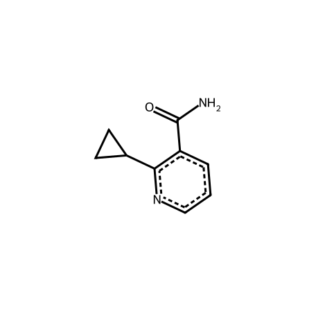 NC(=O)c1cccnc1C1CC1